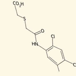 CC(C)COc1cc(NC(=O)CSCC(=O)O)c(Cl)cc1Cl